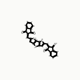 O=C1C(=Cc2cc3sc4cc(C=C5C(=O)c6ccccc6C5=O)sc4c3s2)C(=O)c2ccccc21